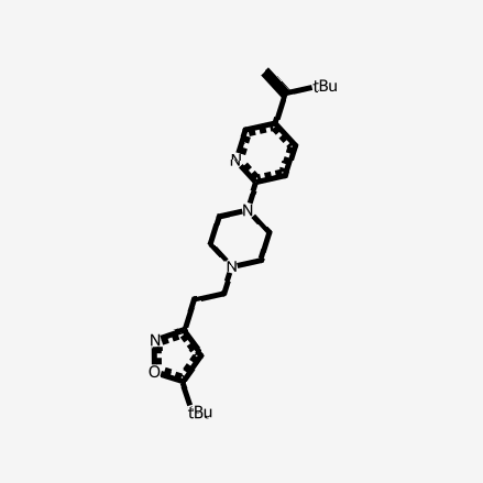 C=C(c1ccc(N2CCN(CCc3cc(C(C)(C)C)on3)CC2)nc1)C(C)(C)C